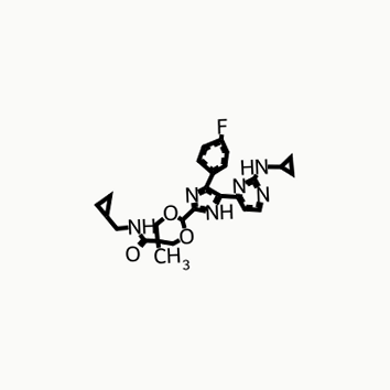 CC1(C(=O)NCC2CC2)COC(c2nc(-c3ccc(F)cc3)c(-c3ccnc(NC4CC4)n3)[nH]2)OC1